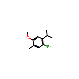 COc1cc(C(C)C)c(Br)cc1C